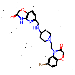 O=C1COc2ccc(CNC3CCN(CCN4C(=O)COc5ccc(Br)cc54)CC3)nc2N1